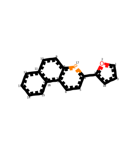 c1coc(-c2ccc3c(ccc4ccccc43)p2)c1